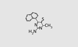 CC1N=C(N)N=C(c2cccc3ccccc23)C1=S